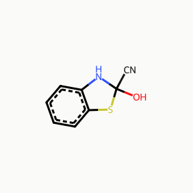 N#CC1(O)Nc2ccccc2S1